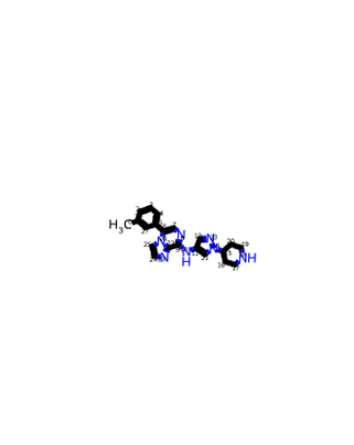 Cc1cccc(-c2cnc(Nc3cnn(C4CCNCC4)c3)c3nccn23)c1